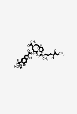 CCC(=O)NCCCN(C)C(=O)[C@@H]1CC[C@@H]2CCN(C(C)=O)C[C@H](NC(=O)c3cc4cc(C(F)(F)P(=O)(O)O)ccc4[nH]3)C(=O)N21